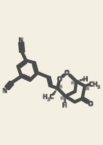 C[C@H]1C(=O)C[C@@H]2C[C@H]1OO[C@]2(C)C=Cc1cc(C#N)cc(C#N)c1